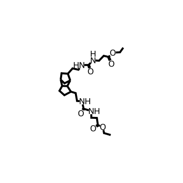 CCOC(=O)CCNC(=O)NCCC1CC2CC1C1C(CCNC(=O)NCCC(=O)OCC)CCC21